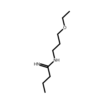 CCCC(=N)NCCCOCC